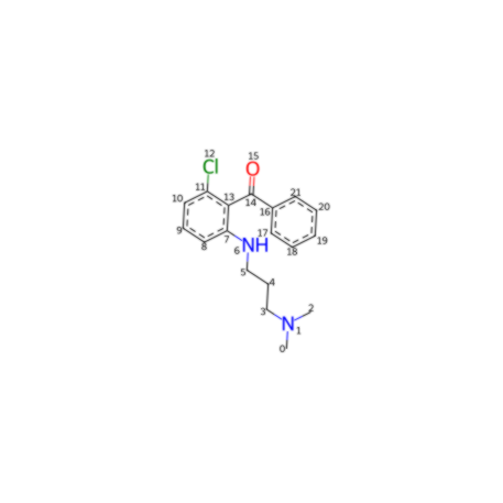 CN(C)CCCNc1cccc(Cl)c1C(=O)c1ccccc1